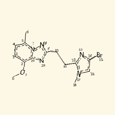 COc1ccc(C)n2nc(CCc3nc(Br)cn3C)nc12